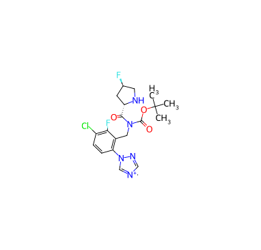 CC(C)(C)OC(=O)N(Cc1c(N2C=[N+]C=N2)ccc(Cl)c1F)C(=O)[C@@H]1C[C@@H](F)CN1